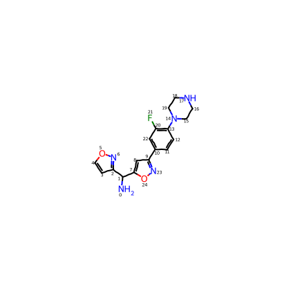 NC(c1ccon1)c1cc(-c2ccc(N3CCNCC3)c(F)c2)no1